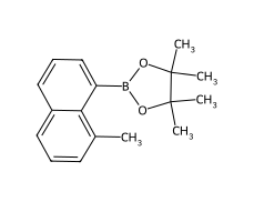 Cc1cccc2cccc(B3OC(C)(C)C(C)(C)O3)c12